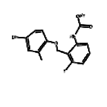 CCc1ccc(OCc2c(F)cccc2NC(=O)OC)c(C)c1